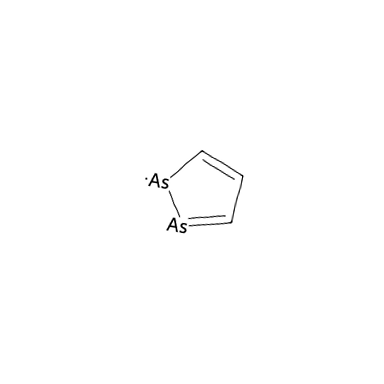 C1=C[As][As]=C1